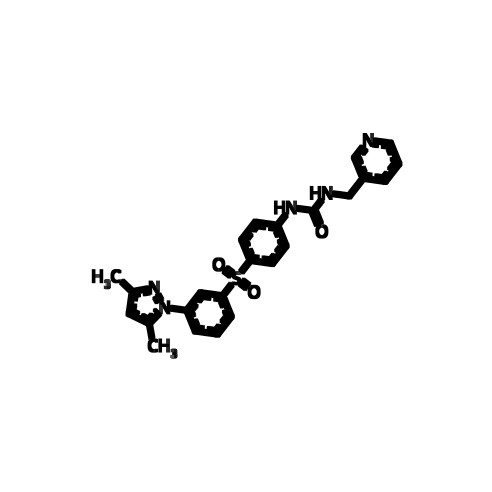 Cc1cc(C)n(-c2cccc(S(=O)(=O)c3ccc(NC(=O)NCc4cccnc4)cc3)c2)n1